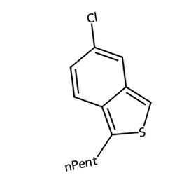 CCCCCc1scc2cc(Cl)ccc12